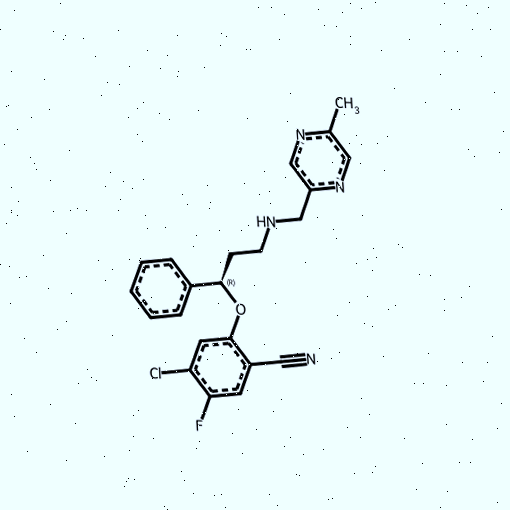 Cc1cnc(CNCC[C@@H](Oc2cc(Cl)c(F)cc2C#N)c2ccccc2)cn1